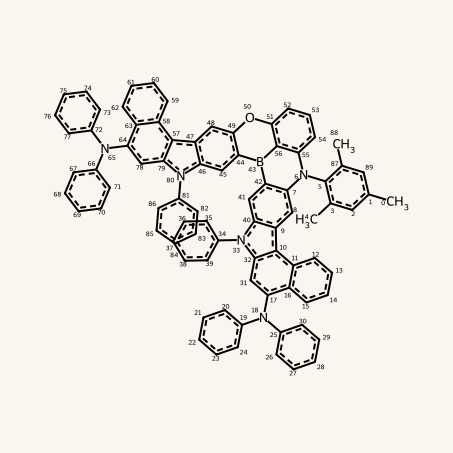 Cc1cc(C)c(N2c3cc4c5c6ccccc6c(N(c6ccccc6)c6ccccc6)cc5n(-c5ccccc5)c4cc3B3c4cc5c(cc4Oc4cccc2c43)c2c3ccccc3c(N(c3ccccc3)c3ccccc3)cc2n5-c2ccccc2)c(C)c1